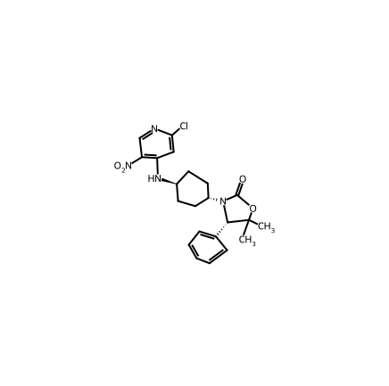 CC1(C)OC(=O)N([C@H]2CC[C@H](Nc3cc(Cl)ncc3[N+](=O)[O-])CC2)[C@H]1c1ccccc1